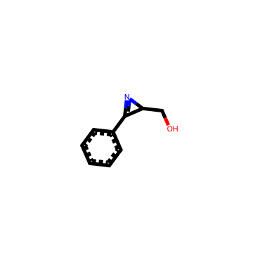 OCC1N=C1c1ccccc1